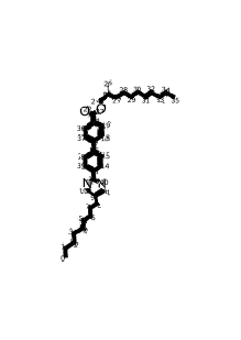 CCCCCCCCCc1cnc(-c2ccc(-c3ccc(C(=O)OC[C@H](C)CCCCCCCCC)cc3)cc2)nc1